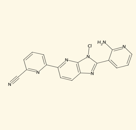 N#Cc1cccc(-c2ccc3nc(-c4cccnc4N)n(Cl)c3n2)n1